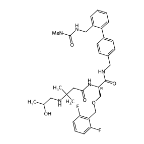 CNC(=O)NCc1ccccc1-c1ccc(CNC(=O)[C@@H](COCc2c(F)cccc2F)NC(=O)CC(C)(C)NCC(C)O)cc1